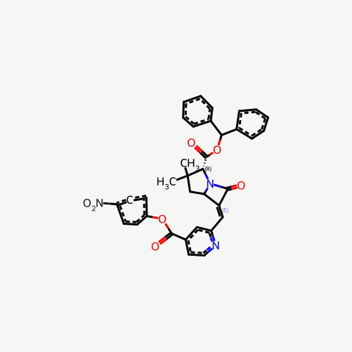 CC1(C)CC2/C(=C\c3cc(C(=O)Oc4ccc([N+](=O)[O-])cc4)ccn3)C(=O)N2[C@H]1C(=O)OC(c1ccccc1)c1ccccc1